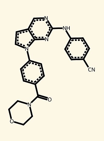 N#Cc1ccc(Nc2ncc3ccn(-c4ccc(C(=O)N5CCOCC5)cc4)c3n2)cc1